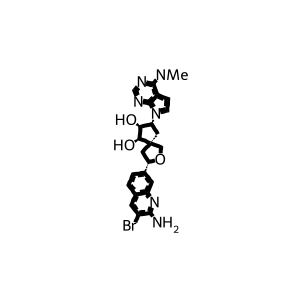 CNc1ncnc2c1ccn2[C@@H]1C[C@@]2(CO[C@H](c3ccc4cc(Br)c(N)nc4c3)C2)[C@@H](O)[C@H]1O